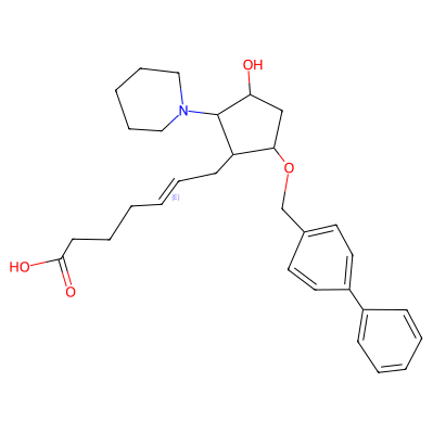 O=C(O)CCC/C=C/CC1C(OCc2ccc(-c3ccccc3)cc2)CC(O)C1N1CCCCC1